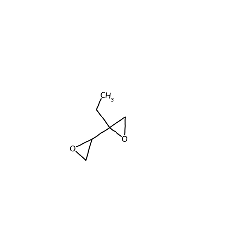 CCC1(C2CO2)CO1